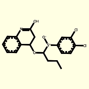 CCCC(OC1CC(O)=Nc2ccccc21)[S+]([O-])c1ccc(Cl)c(Cl)c1